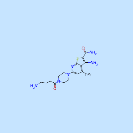 CCCc1cc(N2CCN(C(=O)CCCN)CC2)nc2sc(C(N)=O)c(N)c12